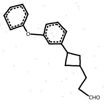 O=CCCC1CC(c2cccc(Oc3ccccc3)c2)C1